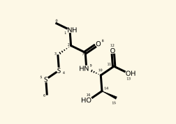 CN[C@@H](CSSC)C(=O)N[C@H](C(=O)O)[C@@H](C)O